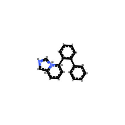 c1ccc(-c2ccccc2-c2cccc3cncn23)cc1